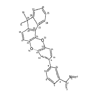 C=NC(=C)c1cccc(-c2ccc3c(c2)Oc2ccc4c(c2O3)-c2ccccc2C4(C)C)c1